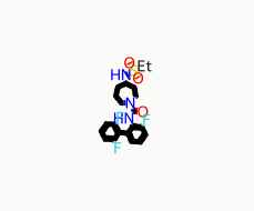 CCS(=O)(=O)N[C@H]1CCCN(C(=O)Nc2c(F)cccc2-c2c(F)cccc2F)CC1